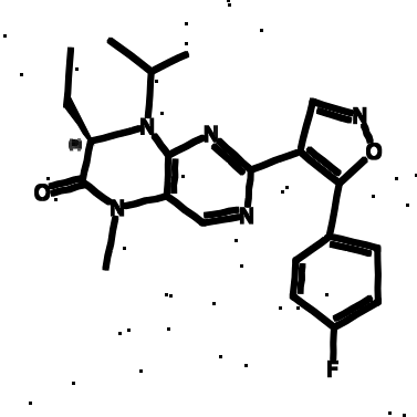 CC[C@@H]1C(=O)N(C)c2cnc(-c3cnoc3-c3ccc(F)cc3)nc2N1C(C)C